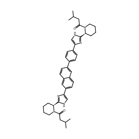 CC(C)CC(=O)N1CCCC[C@H]1c1nc(-c2ccc(-c3ccc4cc(-c5c[nH]c([C@@H]6CCCCN6C(=O)CC(C)C)n5)ccc4c3)cc2)c[nH]1